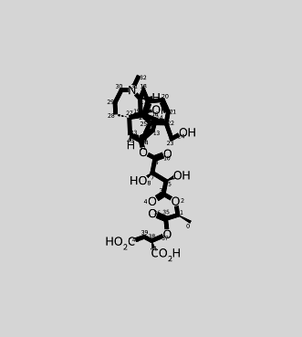 C[C@H](OC(=O)[C@H](O)[C@@H](O)C(=O)OC1=CC[C@@]2(O)[C@H]3Cc4ccc(CO)c5c4[C@@]2(CCCN3C)[C@H]1O5)C(=O)O[C@H](CC(=O)O)C(=O)O